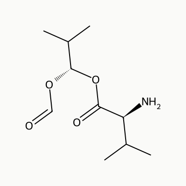 CC(C)[C@@H](OC=O)OC(=O)[C@@H](N)C(C)C